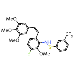 COc1cc(/C=C\c2ccc(F)c(OC)c2NSc2cccc(C(F)(F)F)c2)cc(OC)c1OC